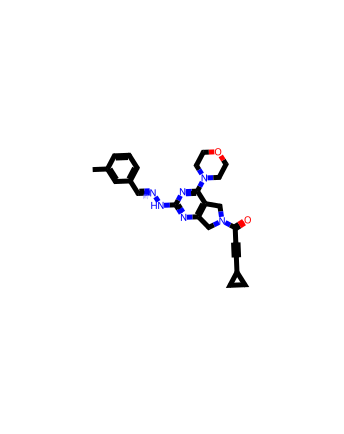 Cc1cccc(/C=N/Nc2nc3c(c(N4CCOCC4)n2)CN(C(=O)C#CC2CC2)C3)c1